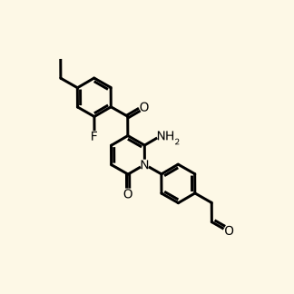 CCc1ccc(C(=O)c2ccc(=O)n(-c3ccc(CC=O)cc3)c2N)c(F)c1